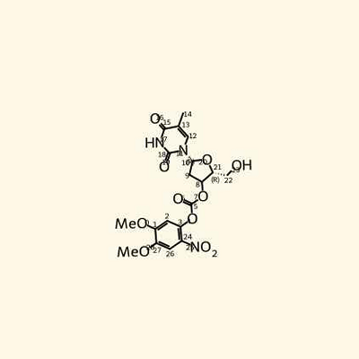 COc1cc(OC(=O)OC2C[C@H](n3cc(C)c(=O)[nH]c3=O)O[C@@H]2CO)c([N+](=O)[O-])cc1OC